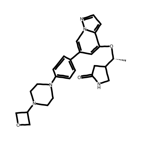 C[C@@H](Oc1cc(-c2ccc(N3CCN(C4COC4)CC3)cc2)cn2nccc12)C1CNC(=O)C1